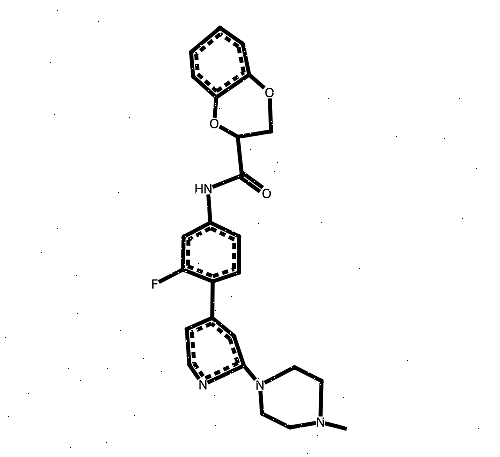 CN1CCN(c2cc(-c3ccc(NC(=O)C4COc5ccccc5O4)cc3F)ccn2)CC1